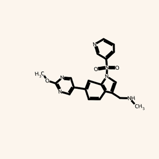 CNCc1cn(S(=O)(=O)c2cccnc2)c2cc(-c3cnc(OC)nc3)ccc12